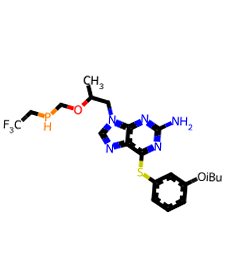 CC(C)COc1cccc(Sc2nc(N)nc3c2ncn3CC(C)OCPCC(F)(F)F)c1